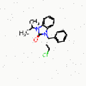 CC(C)n1c(=O)n([C@@H](CCCl)c2ccccc2)c2ccccc21